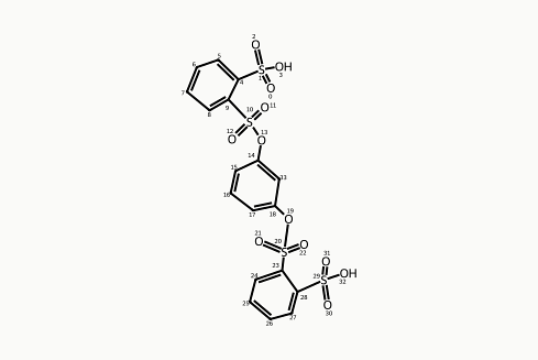 O=S(=O)(O)c1ccccc1S(=O)(=O)Oc1cccc(OS(=O)(=O)c2ccccc2S(=O)(=O)O)c1